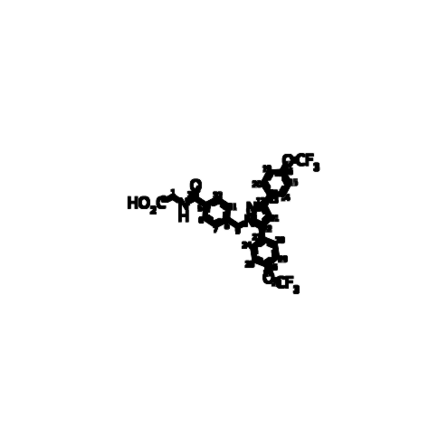 O=C(O)CNC(=O)c1ccc(Cn2nc(-c3ccc(OC(F)(F)F)cc3)cc2-c2ccc(OC(F)(F)F)cc2)cc1